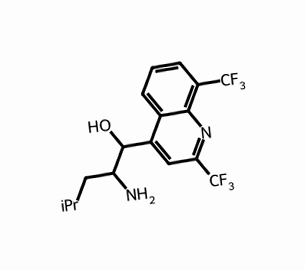 CC(C)CC(N)C(O)c1cc(C(F)(F)F)nc2c(C(F)(F)F)cccc12